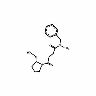 CN(Cc1ccccc1)C(=O)CCC(=O)N1CCC[C@H]1CO